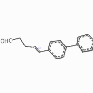 O=CCC/C=C/c1ccc(-c2ccccc2)cc1